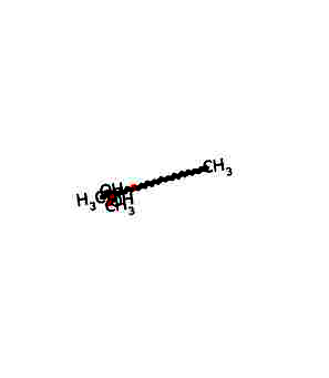 CCCCCCCCCCCCCCCCCCCCCCCCCCCC=CN(C(O)CC)C(O)CC